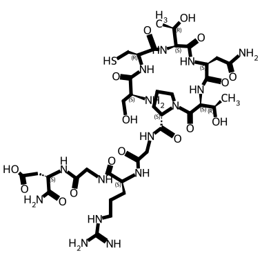 C[C@@H](O)[C@H](NC(=O)[C@H](CS)NC(=O)[C@@H](N)CO)C(=O)N[C@@H](CC(N)=O)C(=O)N[C@H](C(=O)N1CCC[C@H]1C(=O)NCC(=O)N[C@@H](CCCNC(=N)N)C(=O)NCC(=O)N[C@@H](CC(=O)O)C(N)=O)[C@@H](C)O